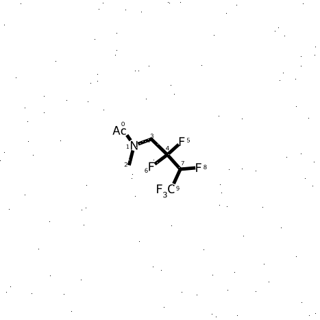 CC(=O)N(C)CC(F)(F)C(F)C(F)(F)F